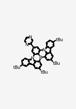 CC(C)(C)c1ccc2c(c1)c1cc(C(C)(C)C)cc3c1n2-c1cc(-c2cnccn2)cc2c1B3c1cc(C(C)(C)C)cc3c4cc(C(C)(C)C)ccc4n-2c13